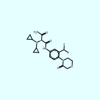 NC(=O)[C@@H](C(=O)Nc1ccc(N2CCOCC2=O)c(C(F)F)c1)N(C1CC1)C1CC1